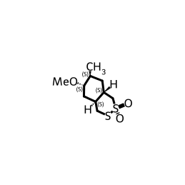 CO[C@H]1C[C@@H]2CSS(=O)(=O)C[C@H]2C[C@@H]1C